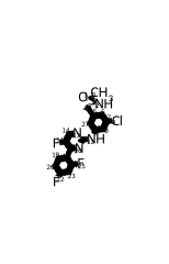 CS(=N)(=O)Cc1cc(Cl)cc(Nc2ncc(F)c(-c3ccc(F)cc3F)n2)c1